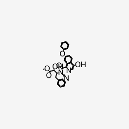 COC(=O)C(O)C(Cc1ccccc1)N(C#N)C(=O)c1ncc(O)c2ccc(Oc3ccccc3)cc12